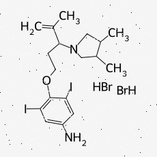 Br.Br.C=C(C)C(CCOc1c(I)cc(N)cc1I)N1CC(C)C(C)C1